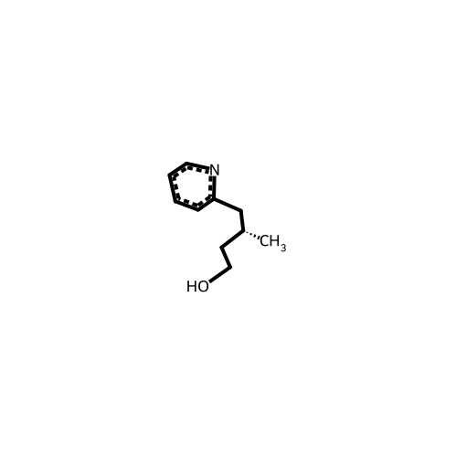 C[C@H](CCO)Cc1ccccn1